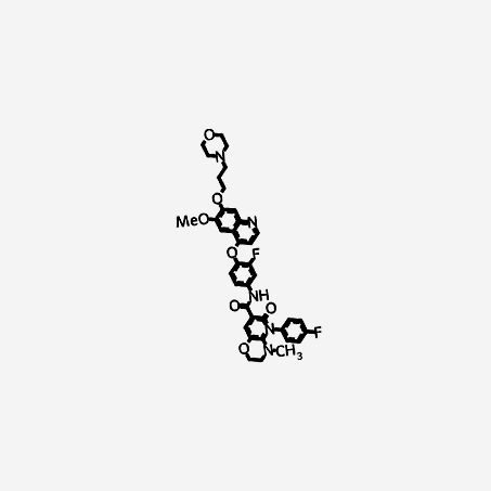 COc1cc2c(Oc3ccc(NC(=O)c4cc5c(n(-c6ccc(F)cc6)c4=O)N(C)CCO5)cc3F)ccnc2cc1OCCCN1CCOCC1